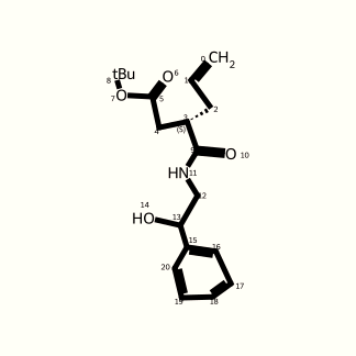 C=CC[C@@H](CC(=O)OC(C)(C)C)C(=O)NCC(O)c1ccccc1